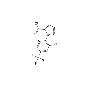 O=C(O)c1ccnn1-c1ncc(C(F)(F)F)cc1Cl